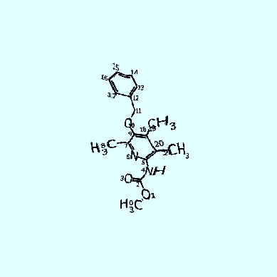 COC(=O)Nc1nc(C)c(OCc2ccccc2)c(C)c1C